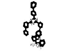 CC1(C)c2ccccc2-n2c3ccc(-c4cccc(-c5nc(-c6ccc(-c7ccccc7)cc6)nc(-c6cccc(-c7ccccc7)c6)n5)c4)cc3c3cccc1c32